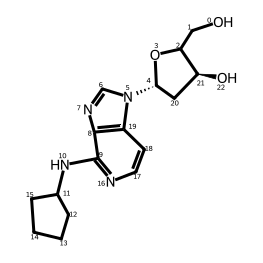 OCC1O[C@@H](n2cnc3c(NC4CCCC4)nccc32)C[C@@H]1O